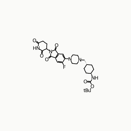 CC(C)(C)OC(=O)N[C@H]1CC[C@H](CN2CCN(c3cc4c(cc3F)C(=O)N(C3CCC(=O)NC3=O)C4=O)CC2)CC1